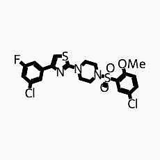 COc1ccc(Cl)cc1S(=O)(=O)N1CCN(c2nc(-c3cc(F)cc(Cl)c3)cs2)CC1